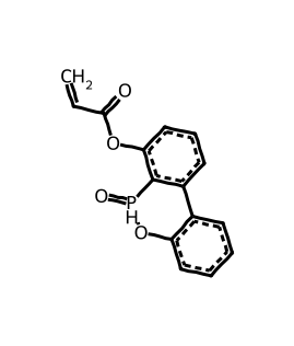 C=CC(=O)Oc1cccc2c1[PH](=O)Oc1ccccc1-2